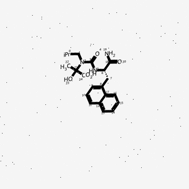 CC(C)CN(C(=O)N[C@@H](Cc1cccc2ccccc12)C(N)=O)C(C)(O)C(=O)O